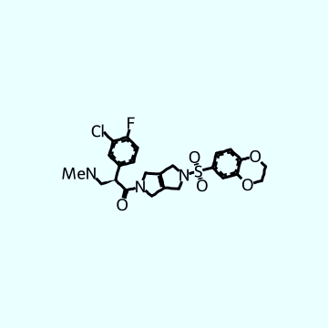 CNC[C@H](C(=O)N1CC2=C(C1)CN(S(=O)(=O)c1ccc3c(c1)OCCO3)C2)c1ccc(F)c(Cl)c1